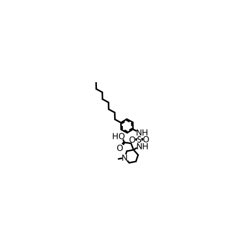 CCCCCCCCc1ccc(NS(=O)(=O)NC2(CC(=O)O)CCCN(C)C2)cc1